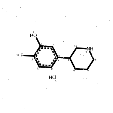 Cl.Oc1cc(C2CCCNC2)ccc1F